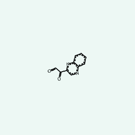 O=CC(=O)c1cnc2ccccc2n1